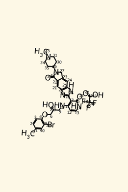 Cc1ccc(OC[C@H](O)CNc2cc[nH]c(=O)c2-c2nc3cc4c(cc3[nH]2)CN(C2CCN(C)CC2)C4=O)c(Br)c1.O=C(O)C(F)(F)F